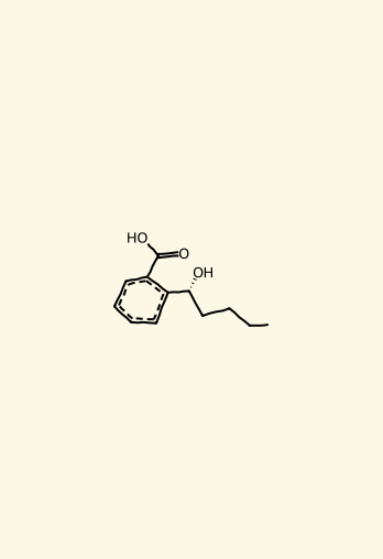 CCCC[C@@H](O)c1ccccc1C(=O)O